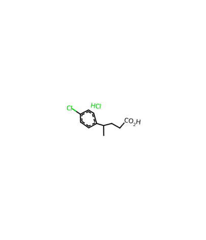 CC(CCC(=O)O)c1ccc(Cl)cc1.Cl